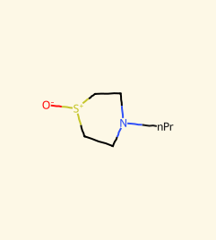 CCCN1CC[S+]([O-])CC1